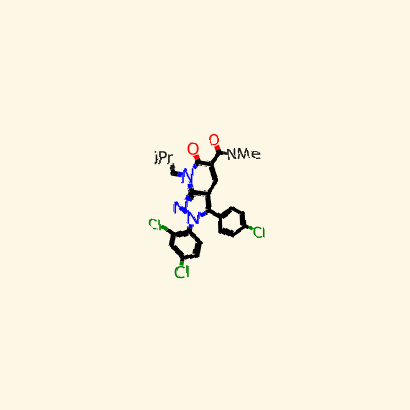 CNC(=O)c1cc2c(-c3ccc(Cl)cc3)n(-c3ccc(Cl)cc3Cl)nc2n(CC(C)C)c1=O